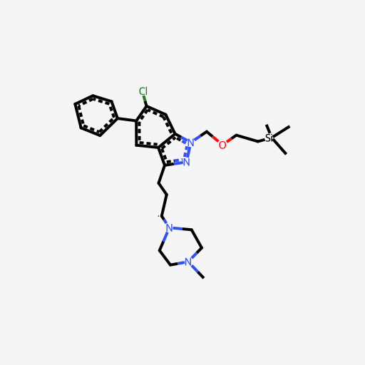 CN1CCN([CH]CCc2nn(COCC[Si](C)(C)C)c3cc(Cl)c(-c4ccccc4)cc23)CC1